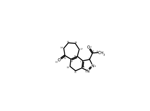 CC(=O)C1N=NC2=C1C1=C(CC2)C(=O)CCCC1